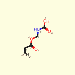 C=CC(=O)OCNC(=O)O